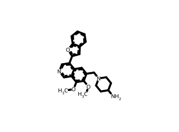 COc1c(CN2CCC(N)CC2)cc2c(-c3cc4ccccc4o3)cncc2c1OC